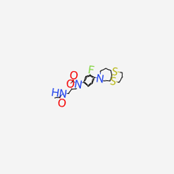 CC(=O)NCC1CN(c2ccc(N3CCCC4(CC3)SCCCS4)c(F)c2)C(=O)O1